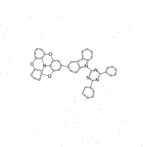 c1ccc(-c2nc(-c3ccccc3)nc(-n3c4ccccc4c4cc(-c5cc6c7c(c5)Oc5cccc8c5N7c5c(cccc5O6)O8)ccc43)n2)cc1